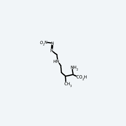 CC(CCNCN=N[N+](=O)[O-])C(N)C(=O)O